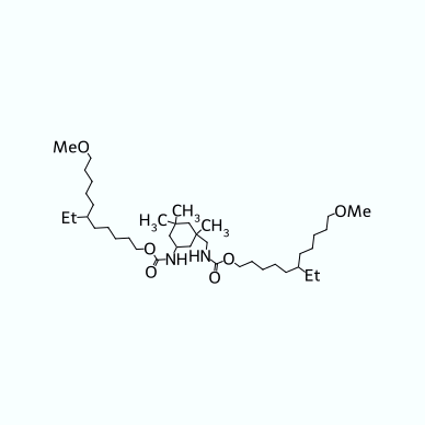 CCC(CCCCCOC)CCCCCOC(=O)NCC1(C)CC(NC(=O)OCCCCCC(CC)CCCCCOC)CC(C)(C)C1